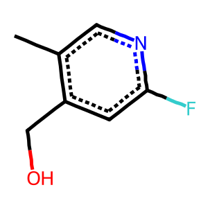 Cc1cnc(F)cc1CO